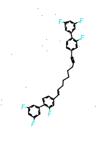 Fc1cc(F)cc(-c2ccc(C#CCCCCC/C=C/c3ccc(-c4cc(F)cc(F)c4)c(F)c3)cc2F)c1